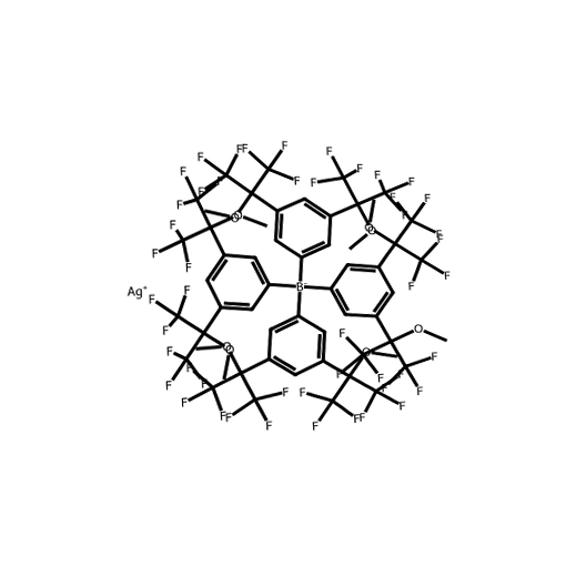 COC(c1cc([B-](c2cc(C(OC)(C(F)(F)F)C(F)(F)F)cc(C(OC)(C(F)(F)F)C(F)(F)F)c2)(c2cc(C(OC)(C(F)(F)F)C(F)(F)F)cc(C(OC)(C(F)(F)F)C(F)(F)F)c2)c2cc(C(OC)(C(F)(F)F)C(F)(F)F)cc(C(OC)(C(F)(F)F)C(F)(F)F)c2)cc(C(OC)(C(F)(F)F)C(F)(F)F)c1)(C(F)(F)F)C(F)(F)F.[Ag+]